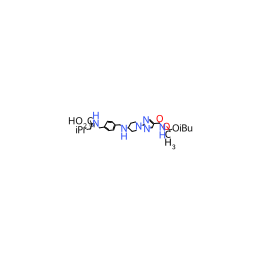 CC(C)COC(C)ONC(=O)c1cnc(N2CCC(NCc3ccc(CN[C@@H](CC(C)C)C(=O)O)cc3)CC2)nc1